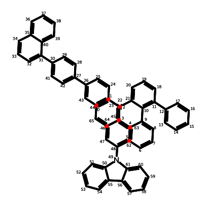 c1ccc(-c2ccccc2-c2c(-c3ccccc3)cccc2N(c2ccc(-c3ccc(-c4cccc5ccccc45)cc3)cc2)c2ccc(-n3c4ccccc4c4ccccc43)cc2)cc1